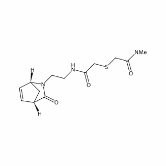 CNC(=O)CSCC(=O)NCCN1C(=O)[C@@H]2C=C[C@H]1C2